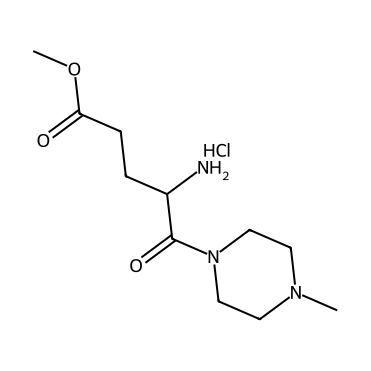 COC(=O)CCC(N)C(=O)N1CCN(C)CC1.Cl